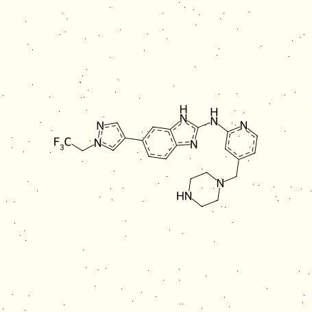 FC(F)(F)Cn1cc(-c2ccc3nc(Nc4cc(CN5CCNCC5)ccn4)[nH]c3c2)cn1